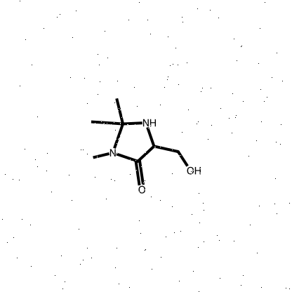 CN1C(=O)C(CO)NC1(C)C